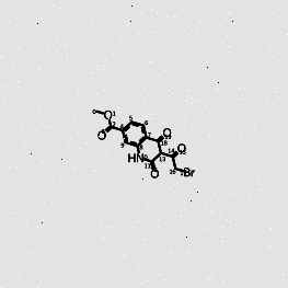 COC(=O)c1ccc2c(c1)NC(=O)C(C(=O)CBr)C2=O